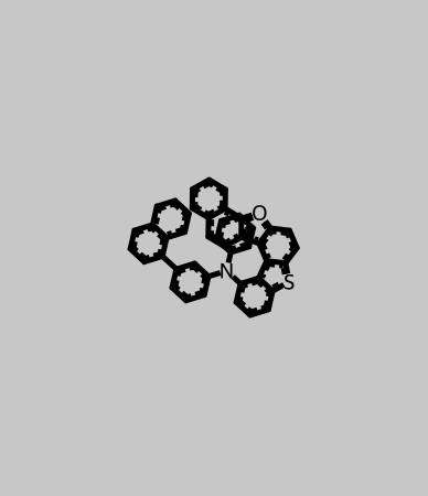 c1ccc(N(c2cccc(-c3cccc4ccccc34)c2)c2cccc3sc4ccc5oc6c7ccccc7ccc6c5c4c23)cc1